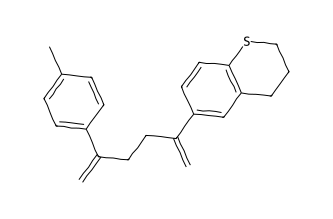 C=C(CCC(=C)c1ccc2c(c1)CCCS2)c1ccc(C)cc1